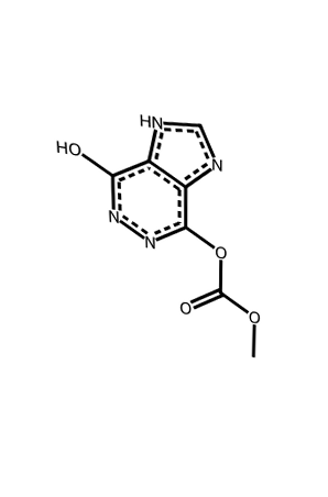 COC(=O)Oc1nnc(O)c2[nH]cnc12